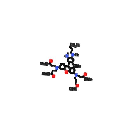 CCOC(=O)CCCN(CC)c1cc(OC)c(-c2c3ccc(=[N+](CCC(=O)OC)CCC(=O)OC)cc-3oc3cc(N(CCCOC=O)CCC(=O)OC)ccc23)cc1N(C)C